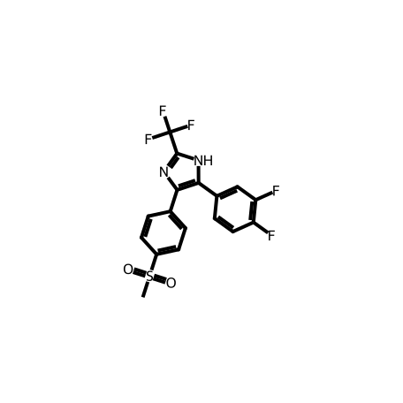 CS(=O)(=O)c1ccc(-c2nc(C(F)(F)F)[nH]c2-c2ccc(F)c(F)c2)cc1